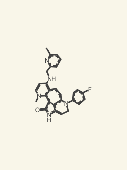 Cc1cccc(CNC2=c3ccc4c5c([nH]c(=O)c-5c3N(C)C=C2)=CCN4c2ccc(F)cc2)n1